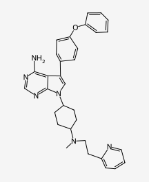 CN(CCc1ccccn1)C1CCC(n2cc(-c3ccc(Oc4ccccc4)cc3)c3c(N)ncnc32)CC1